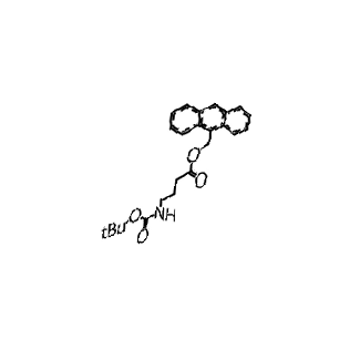 CC(C)(C)OC(=O)NCCCC(=O)OCc1c2ccccc2cc2ccccc12